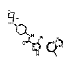 Cc1cc(-c2[nH]nc(C(=O)NC3CCC(NC4(C)COC4)CC3)c2C(C)C)cn2ncnc12